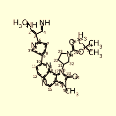 CN/C=C(\C=N)c1ccc(-c2ccc3ncc4c(c3n2)n(C2CCN(C(=O)OC(C)(C)C)C2)c(=O)n4C)cn1